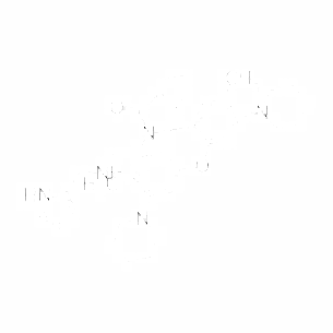 Cc1cc2c(cc1N1CCCCC1)Oc1cc(N3CCCCC3)c(C)cc1C21c2ccccc2C(=O)N1CCNCc1ccc[nH]1